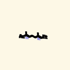 CC/C=C(\C)CC/C=C(\C)C(C)=O